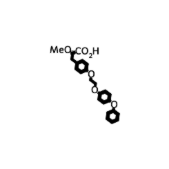 CO[C@@H](Cc1ccc(OCCOc2ccc(Oc3ccccc3)cc2)cc1)C(=O)O